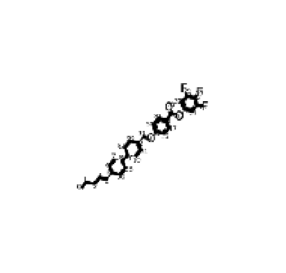 CCCCC[C@H]1CC[C@H]([C@H]2CC[C@H](COc3ccc(C(=O)Oc4cc(F)c(F)c(F)c4)cc3)CC2)CC1